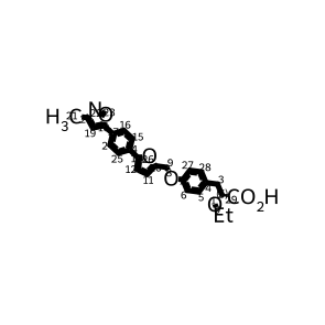 CCO[C@@H](Cc1ccc(OCc2ccc(-c3ccc(-c4cc(C)no4)cc3)o2)cc1)C(=O)O